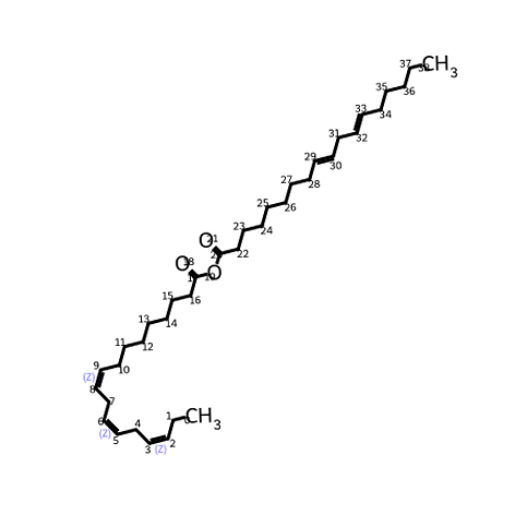 CC/C=C\C/C=C\C/C=C\CCCCCCCC(=O)OC(=O)CCCCCCCC=CCC=CCCCCC